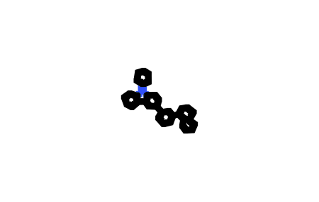 c1ccc(-n2c3ccccc3c3cc(-c4cccc(-c5cccc6ccccc56)c4)ccc32)cc1